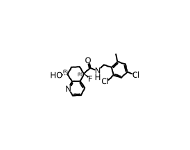 Cc1cc(Cl)cc(Cl)c1CNC(=O)[C@@]1(F)CC[C@@H](O)c2ncccc21